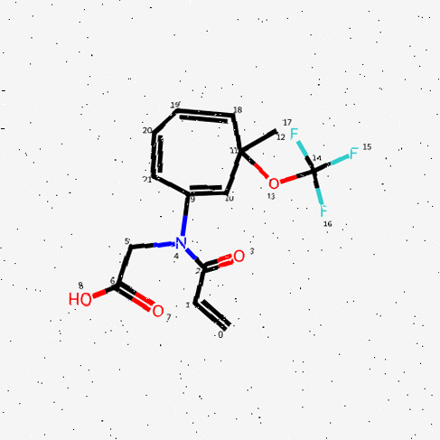 C=CC(=O)N(CC(=O)O)C1=CC(C)(OC(F)(F)F)C=CC=C1